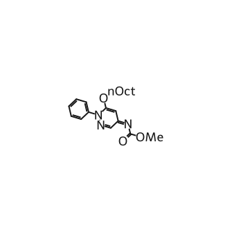 CCCCCCCCOc1c/c(=N/C(=O)OC)cnn1-c1ccccc1